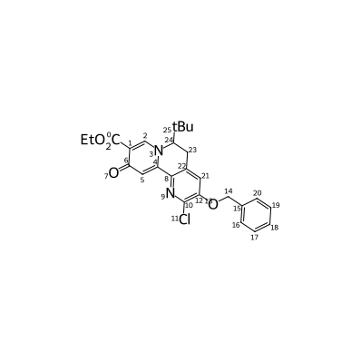 CCOC(=O)c1cn2c(cc1=O)-c1nc(Cl)c(OCc3ccccc3)cc1CC2C(C)(C)C